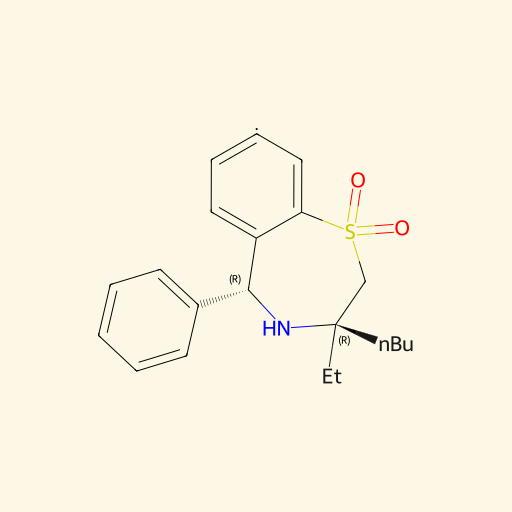 CCCC[C@]1(CC)CS(=O)(=O)c2c[c]ccc2[C@@H](c2ccccc2)N1